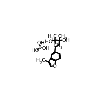 Cc1coc2ccc(CCC(C)(O)C(C)(C)O)cc12.OB(O)O